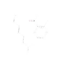 CC(C)CCCCCO.Nc1ccccc1C(=O)O